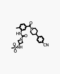 Cc1ccc(C(=O)N2CCC(c3ccc(C#N)cc3)CC2)cc1NC(=O)N1CC(NS(C)(=O)=O)C1